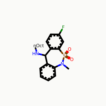 CCCCCCCCNC1c2ccccc2N(C)S(=O)(=O)c2cc(F)ccc21